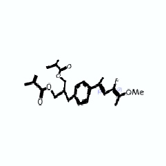 C=C(C)C(=O)OCC(COC(=O)C(=C)C)Cc1ccc(/C(C)=C/C(F)=C(\C)OC)cc1